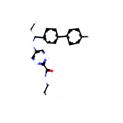 CCOC(=O)CCNC(=O)c1ncc(N[C@@H](CC(C)C)c2ccc(-c3ccc(C(F)(F)F)cc3)cc2)cn1